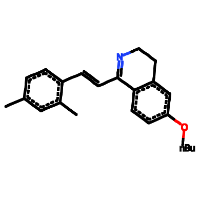 CCCCOc1ccc2c(c1)CCN=C2/C=C/c1ccc(C)cc1C